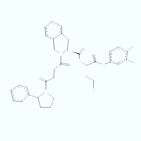 Cc1cc(NC(=O)[C@H](CCN)NC(=O)[C@@H]2Cc3ccccc3CN2C(=O)CCC(=O)N2CCCC2c2ccccc2)ccc1Cl